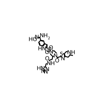 CC1Cc2nc(C(=O)N3CCN(S(=O)(=O)c4cc5cc(/C(N)=N\O)ccc5[nH]4)CC3CC(=O)NCc3nnn[nH]3)sc2CN1